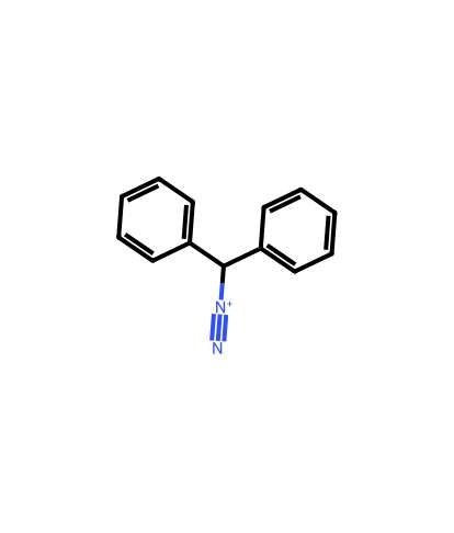 N#[N+]C(c1ccccc1)c1ccccc1